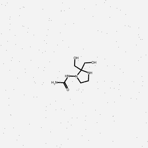 NC(=O)NN1CCNC1(CO)CO